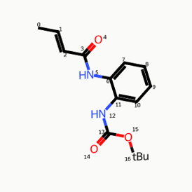 CC=CC(=O)Nc1ccccc1NC(=O)OC(C)(C)C